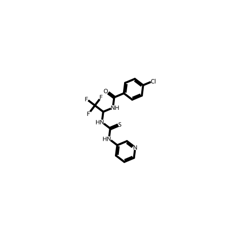 O=C(NC(NC(=S)Nc1cccnc1)C(F)(F)F)c1ccc(Cl)cc1